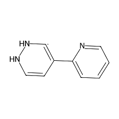 [C]1=C(c2ccccn2)C=CNN1